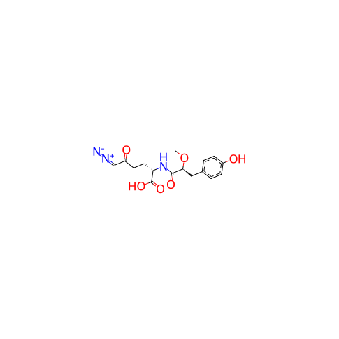 CO[C@@H](Cc1ccc(O)cc1)C(=O)N[C@@H](CCC(=O)C=[N+]=[N-])C(=O)O